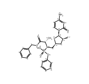 C[C@@H](C(=O)OCc1ccccc1)N(C[C@@H]1C[C@H](F)[C@H](n2ccc(N)nc2=O)S1)P(=O)(O)Oc1cccnc1